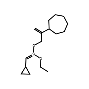 C=C(CO[Si](=CC1CC1)OCC)C1CCCCCC1